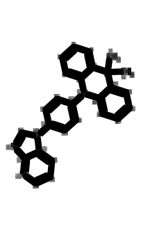 CC1(C)c2ccccc2N(c2ccc(-n3cnc4ncccc43)cc2)c2ccccc21